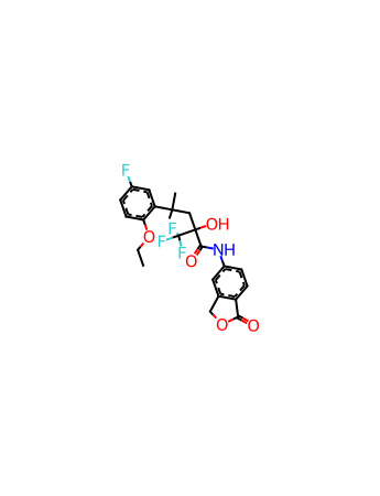 CCOc1ccc(F)cc1C(C)(C)CC(O)(C(=O)Nc1ccc2c(c1)COC2=O)C(F)(F)F